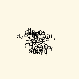 C=C(C)C(=O)NCCOC(=O)C(CCCC)N1C(=O)c2cc(Oc3cccc(-c4cccc(C)c4)c3)c3c4c(Oc5cccc(-c6cccc(C)c6)c5)cc5c6c(cc(Oc7cccc(-c8cccc(C)c8)c7)c(c7c(Oc8cccc(-c9cccc(C)c9)c8)cc(c2c37)C1=O)c64)C(=O)N(C(CCCC)C(=O)OCCNC(=O)C(C)C)C5=O